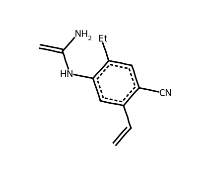 C=Cc1cc(NC(=C)N)c(CC)cc1C#N